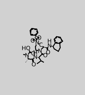 CC(C)[C@H](NC(=O)[C@H](C)N(C)C(=O)O)C(=O)N1CCN(S(=O)(=O)c2ccccc2)C[C@H]1C(=O)N[C@@H]1CCCc2ccccc21